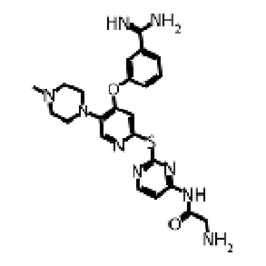 CN1CCN(c2cnc(Sc3nccc(NC(=O)CN)n3)cc2Oc2cccc(C(=N)N)c2)CC1